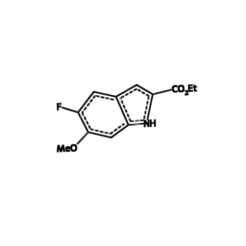 CCOC(=O)c1cc2cc(F)c(OC)cc2[nH]1